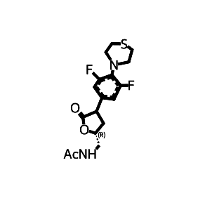 CC(=O)NC[C@H]1CC(c2cc(F)c(N3CCSCC3)c(F)c2)C(=O)O1